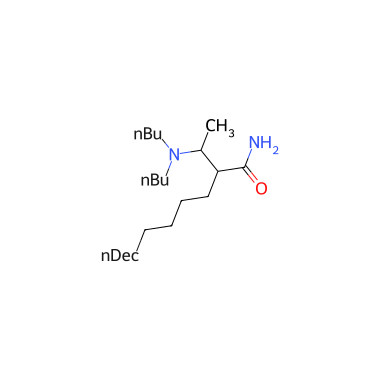 CCCCCCCCCCCCCCC(C(N)=O)C(C)N(CCCC)CCCC